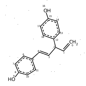 C=CC(C=Cc1ccc(O)cc1)c1ccc(O)cc1